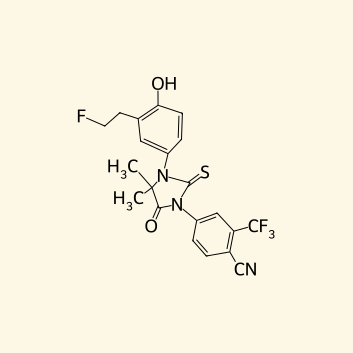 CC1(C)C(=O)N(c2ccc(C#N)c(C(F)(F)F)c2)C(=S)N1c1ccc(O)c(CCF)c1